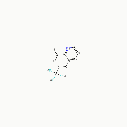 CC(C)c1ncccc1CCC(F)(F)F